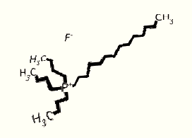 CCCCCCCCCCCCCC[P+](CCCC)(CCCC)CCCC.[F-]